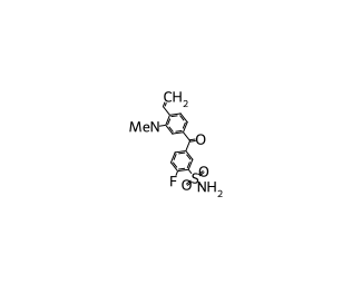 C=Cc1ccc(C(=O)c2ccc(F)c(S(N)(=O)=O)c2)cc1NC